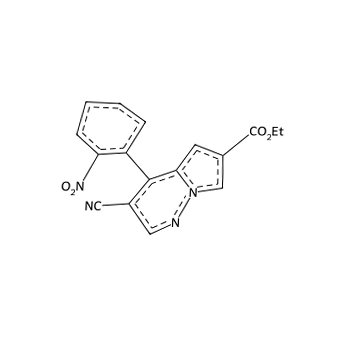 CCOC(=O)c1cc2c(-c3ccccc3[N+](=O)[O-])c(C#N)cnn2c1